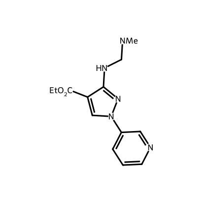 CCOC(=O)c1cn(-c2cccnc2)nc1NCNC